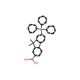 CC1(C)c2cc(B(O)O)ccc2-c2ccc([Si](c3ccccc3)(c3ccccc3)c3ccccc3)cc21